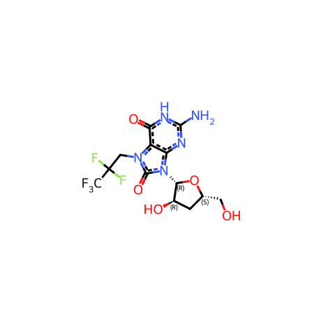 Nc1nc2c(c(=O)[nH]1)n(CC(F)(F)C(F)(F)F)c(=O)n2[C@@H]1O[C@H](CO)C[C@H]1O